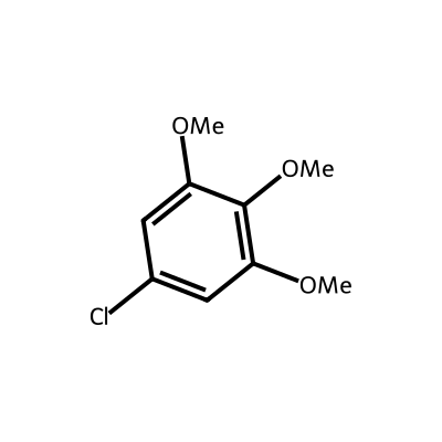 COc1cc(Cl)cc(OC)c1OC